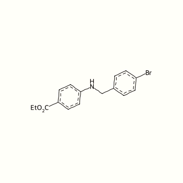 CCOC(=O)c1ccc(NCc2ccc(Br)cc2)cc1